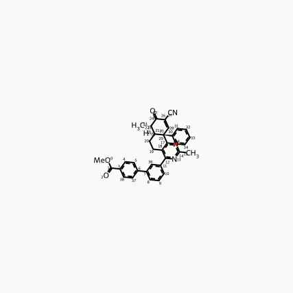 COC(=O)c1ccc(-c2cccc(-c3nc(C)nc4c3CC[C@H]3[C@H](C)C(=O)C(C#N)=C[C@]43c3ccccc3)c2)cc1